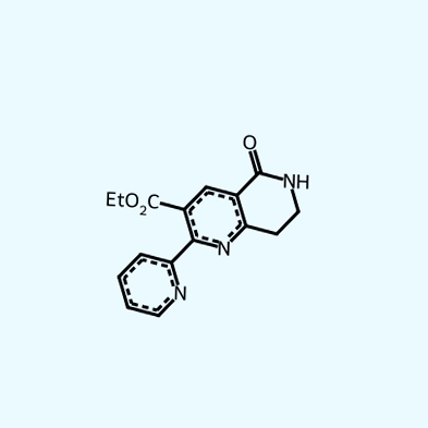 CCOC(=O)c1cc2c(nc1-c1ccccn1)CCNC2=O